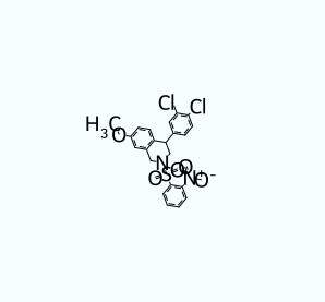 COc1ccc2c(c1)CN(S(=O)(=O)c1ccccc1[N+](=O)[O-])CC2c1ccc(Cl)c(Cl)c1